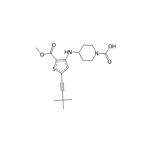 COC(=O)c1sc(C#CC(C)(C)C)cc1NC1CCN(C(=O)O)CC1